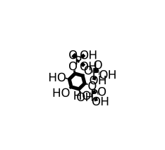 O=P(O)(O)O[C@@H]1[C@H](OP(=O)(O)O)[C@H](O)[C@@H](O)[C@H](O)[C@H]1OP(=O)(O)O